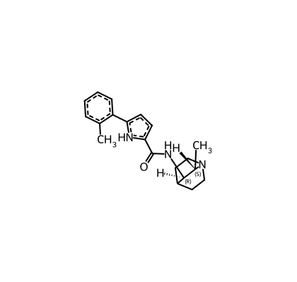 Cc1ccccc1-c1ccc(C(=O)N[C@@H]2C3CCN(CC3)[C@H]2C)[nH]1